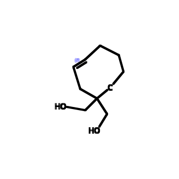 OCC1(CO)C/C=C\CCCC1